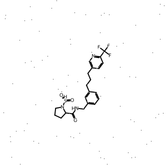 O=C(NCc1cccc(CCCc2ccc(C(F)(F)F)nc2)c1)C1CCCN1[SH](=O)=O